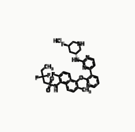 CCC(F)(F)CS(=O)(=O)Nc1c(F)ccc2c(Oc3ncccc3-c3ccnc(N[C@H]4CNC[C@H](F)C4)n3)c(C)ccc12.Cl